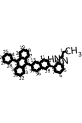 CCc1nc2cccc(-c3ccc4cc(-c5c6ccccc6c(-c6ccccc6)c6ccccc56)ccc4c3)c2[nH]1